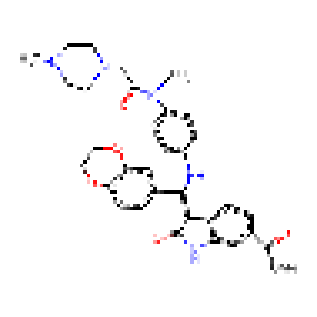 COC(=O)c1ccc2c(c1)NC(=O)C2=C(Nc1ccc(N(C)C(=O)CN2CCN(C)CC2)cc1)c1ccc2c(c1)OCCO2